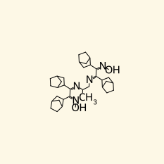 CC(CN=C(C(=NO)C1CC2CCC1C2)C1CC2CCC1C2)N=C(C(=NO)C1CC2CCC1C2)C1CC2CCC1C2